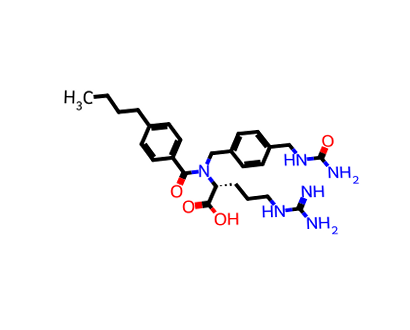 CCCCc1ccc(C(=O)N(Cc2ccc(CNC(N)=O)cc2)[C@H](CCCNC(=N)N)C(=O)O)cc1